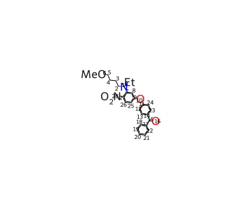 CCN(CCCCOC)c1cc(Oc2ccc(C(=O)c3ccccc3)cc2)ccc1[N+](=O)[O-]